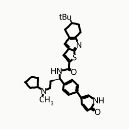 CN(CC[C@@H](NC(=O)c1cc2cc3c(nc2s1)CC[C@H](C(C)(C)C)C3)c1ccc(-c2ccc(=O)[nH]c2)cc1)C1CCCC1